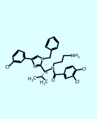 CC(C)[C@H](c1nc(-c2cccc(Cl)c2)cn1Cc1ccccc1)N(CCCN)C(=O)c1ccc(Cl)c(Cl)c1